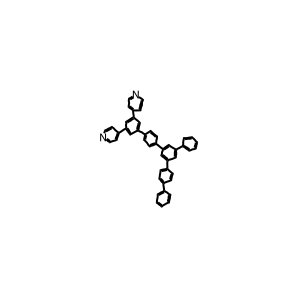 c1ccc(-c2ccc(-c3cc(-c4ccccc4)cc(-c4ccc(-c5cc(-c6ccncc6)cc(-c6ccncc6)c5)cc4)c3)cc2)cc1